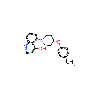 Cc1ccc(OC2CCN(c3cccc4nccc(O)c34)CC2)cc1